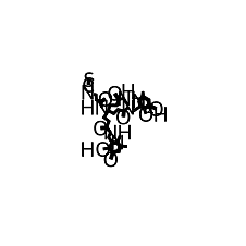 Cc1cc(=O)c(O)c(CNC(=O)CCC(CCC(N)=O)(CCC(=O)NCc2c(O)c(=O)cc(C)n2C)NC(=O)CCN=C=S)n1C